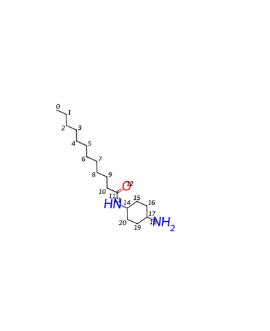 CCCCCCCCCCCC(=O)NC1CCC(N)CC1